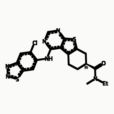 CCN(C)C(=O)[C@H]1CCc2c(sc3ncnc(Nc4cc5snnc5cc4Cl)c23)C1